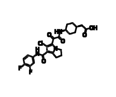 O=C(O)C[C@H]1CC[C@@H](NC(=O)C(=O)c2c(Cl)c(C(=O)Nc3ccc(F)c(F)c3)c3n2CCC3)CC1